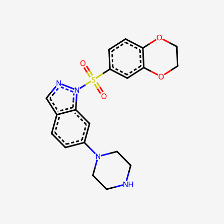 O=S(=O)(c1ccc2c(c1)OCCO2)n1ncc2ccc(N3CCNCC3)cc21